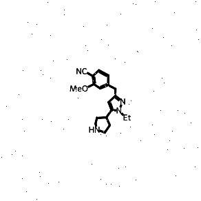 CCn1nc(Cc2ccc(C#N)c(OC)c2)cc1C1CCNCC1